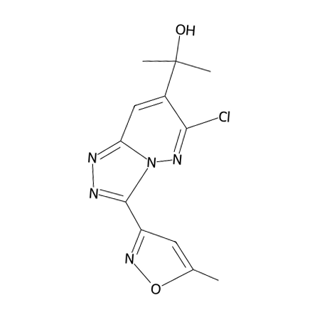 Cc1cc(-c2nnc3cc(C(C)(C)O)c(Cl)nn23)no1